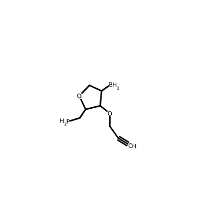 BC1COC(CP)C1OCC#C